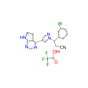 N#CCC(c1cccc(Br)c1)n1cc(-c2ncnc3[nH]ccc23)cn1.O=C(O)C(F)(F)F